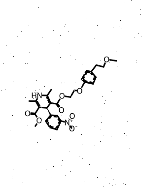 COCCc1ccc(OCCOC(=O)C2=C(C)NC(C)=C(C(=O)OC)[C@@H]2c2cccc([N+](=O)[O-])c2)cc1